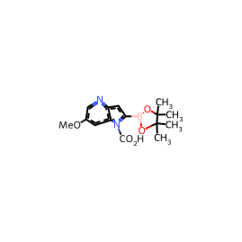 COc1cnc2cc(B3OC(C)(C)C(C)(C)O3)n(C(=O)O)c2c1